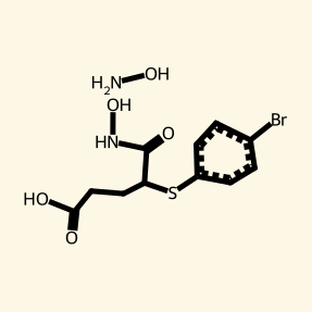 NO.O=C(O)CCC(Sc1ccc(Br)cc1)C(=O)NO